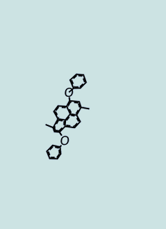 Cc1cc(Oc2ccccc2)c2ccc3c(C)cc(Oc4ccccc4)c4ccc1c2c34